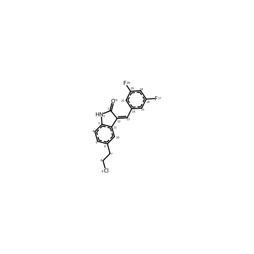 O=C1Nc2ccc(CCCl)cc2C1=Cc1cc(F)cc(F)c1